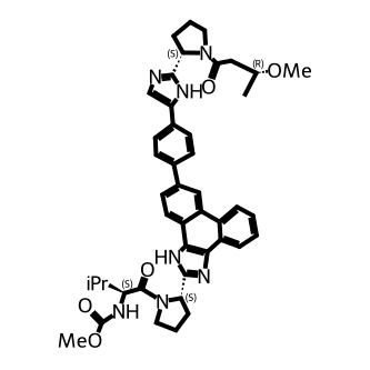 COC(=O)N[C@H](C(=O)N1CCC[C@H]1c1nc2c3ccccc3c3cc(-c4ccc(-c5cnc([C@@H]6CCCN6C(=O)C[C@@H](C)OC)[nH]5)cc4)ccc3c2[nH]1)C(C)C